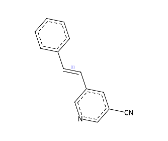 N#Cc1cncc(/C=C/c2ccccc2)c1